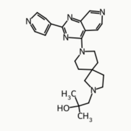 CC(C)(O)CN1CCC2(CCN(c3nc(-c4ccncc4)nc4cnccc34)CC2)C1